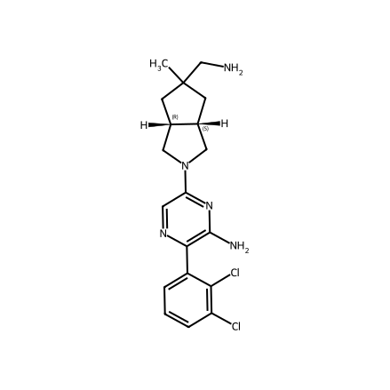 CC1(CN)C[C@H]2CN(c3cnc(-c4cccc(Cl)c4Cl)c(N)n3)C[C@H]2C1